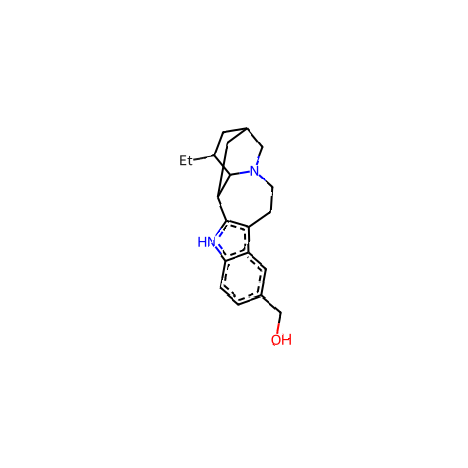 CCC1CC2CC3c4[nH]c5ccc(CO)cc5c4CCN(C2)C13